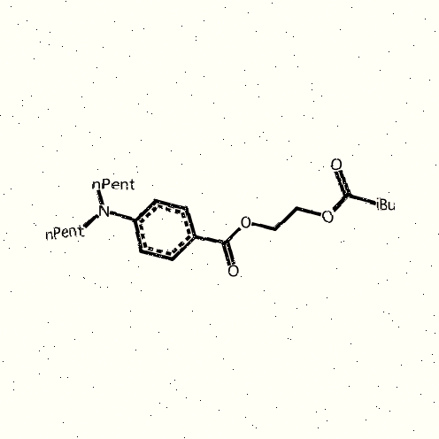 CCCCCN(CCCCC)c1ccc(C(=O)OCCOC(=O)C(C)CC)cc1